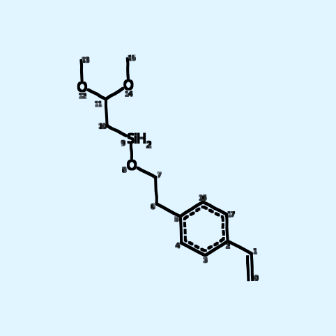 C=Cc1ccc(CCO[SiH2]CC(OC)OC)cc1